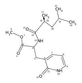 COC(=O)C(Cc1ccc[nH]c1=O)NC(=O)[C@@H](C)CC(C)C